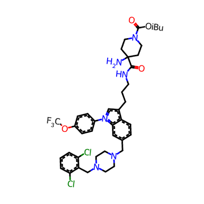 CC(C)COC(=O)N1CCC(N)(C(=O)NCCCc2cn(-c3ccc(OC(F)(F)F)cc3)c3cc(CN4CCN(Cc5c(Cl)cccc5Cl)CC4)ccc23)CC1